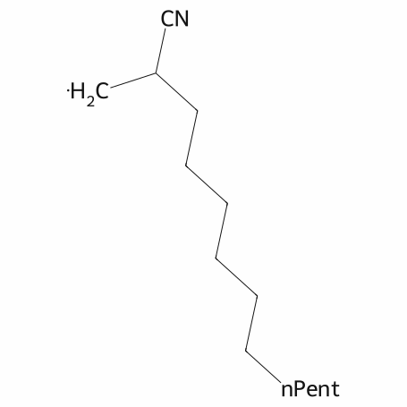 [CH2]C(C#N)CCCCCCCCCCC